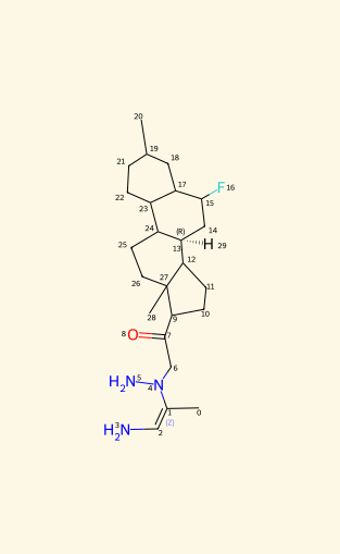 C/C(=C/N)N(N)CC(=O)C1CCC2[C@@H]3CC(F)C4CC(C)CCC4C3CCC12C